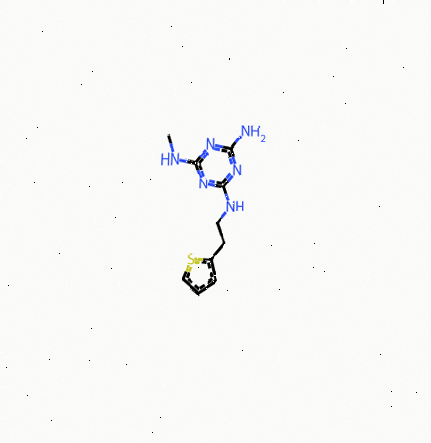 CNc1nc(N)nc(NCCc2cccs2)n1